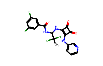 CC(Cl)(Cl)C(NC(=O)c1cc(F)cc(F)c1)Nc1c(Nc2cccnc2)c(=O)c1=O